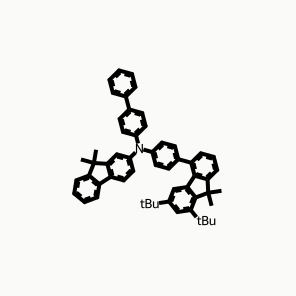 CC(C)(C)c1cc2c(c(C(C)(C)C)c1)C(C)(C)c1cccc(-c3ccc(N(c4ccc(-c5ccccc5)cc4)c4ccc5c(c4)C(C)(C)c4ccccc4-5)cc3)c1-2